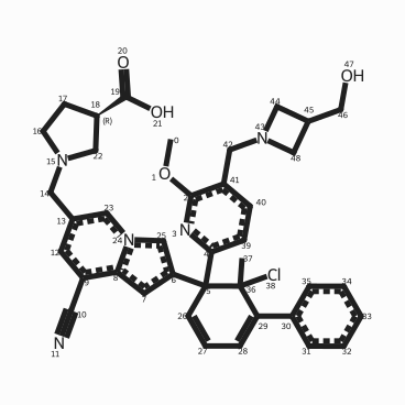 COc1nc(C2(c3cc4c(C#N)cc(CN5CC[C@@H](C(=O)O)C5)cn4c3)C=CC=C(c3ccccc3)C2(C)Cl)ccc1CN1CC(CO)C1